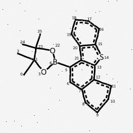 CC1(C)OB(c2cc3ccccc3c3sc4ccccc4c23)OC1(C)C